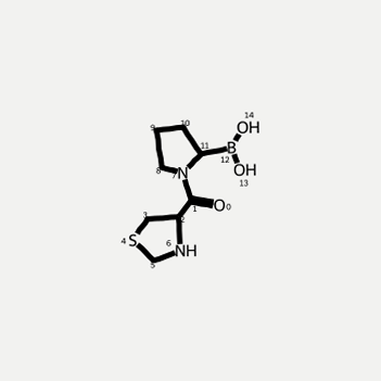 O=C(C1CSCN1)N1CCCC1B(O)O